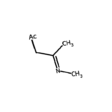 C/N=C(\C)CC(C)=O